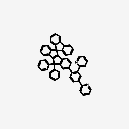 c1ccc(C2(c3ccccc3)C3=C(c4ccc(-c5ccc(-c6ccccn6)cc5-c5ccccn5)cc42)C2(c4ccccc43)c3ccccc3-c3ccccc32)cc1